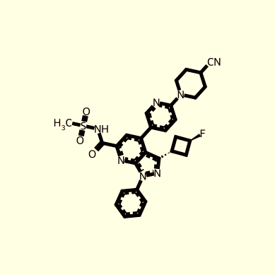 CS(=O)(=O)NC(=O)c1cc(-c2ccc(N3CCC(C#N)CC3)nc2)c2c(n1)n(-c1ccccc1)nc2[C@H]1C[C@H](F)C1